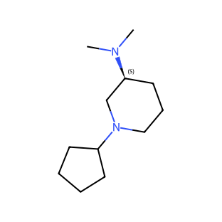 CN(C)[C@H]1CCCN(C2CCCC2)C1